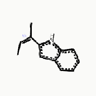 C/C=C(/C)c1cc2ccccc2[nH]1